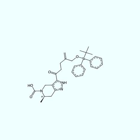 C=C(CCC(=O)c1[nH]nc2c1CN(C(=O)O)[C@H](C)C2)CO[Si](c1ccccc1)(c1ccccc1)C(C)(C)C